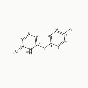 Cc1ccc(Cc2[c]ccc(=O)[nH]2)cc1